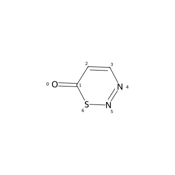 O=c1ccnns1